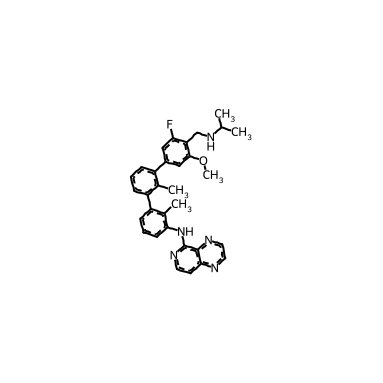 COc1cc(-c2cccc(-c3cccc(Nc4nccc5nccnc45)c3C)c2C)cc(F)c1CNC(C)C